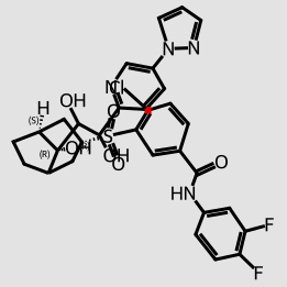 O=C(Nc1ccc(F)c(F)c1)c1ccc(Cl)c(S(=O)(=O)[C@@H]2CC3CC[C@@H](C2)[C@@]3(O)C(O)C(O)c2ccc(-n3cccn3)cn2)c1